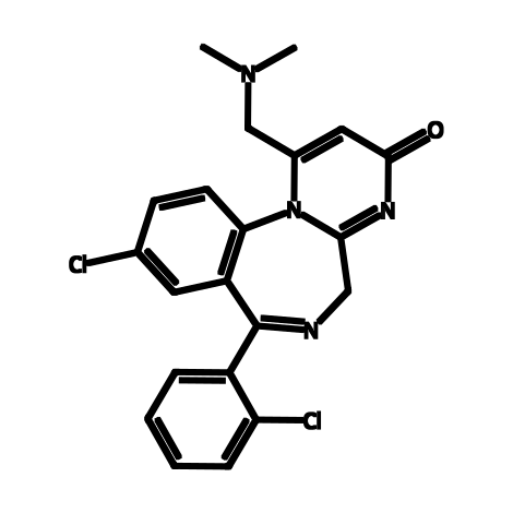 CN(C)Cc1cc(=O)nc2n1-c1ccc(Cl)cc1C(c1ccccc1Cl)=NC2